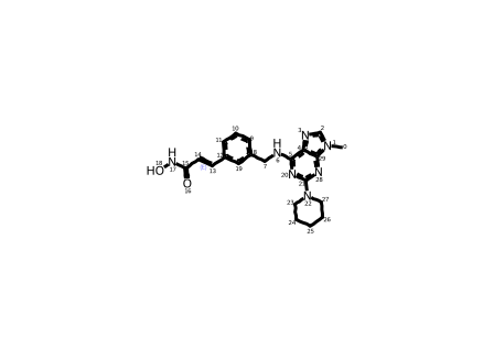 Cn1cnc2c(NCc3cccc(/C=C/C(=O)NO)c3)nc(N3CCCCC3)nc21